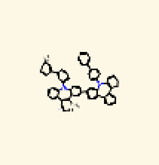 CC/C=C\C1=C(C)c2cc(-c3ccc4c(c3)N(c3ccc(-c5ccccc5)cc3)C3=C(CCC=C3)c3ccccc3-4)ccc2N(c2cccc(C3=C[C@H](C)CC=C3)c2)c2ccccc21